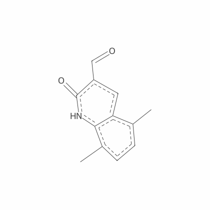 Cc1ccc(C)c2[nH]c(=O)c(C=O)cc12